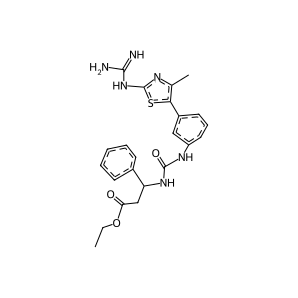 CCOC(=O)CC(NC(=O)Nc1cccc(-c2sc(NC(=N)N)nc2C)c1)c1ccccc1